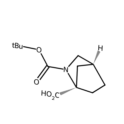 CC(C)(C)OC(=O)N1C[C@H]2CC[C@]1(C(=O)O)C2